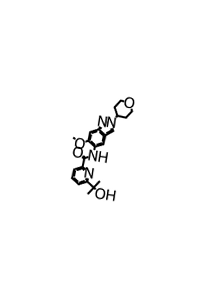 COc1cc2nn(C3CCOCC3)cc2cc1NC(=O)c1cccc(C(C)(C)O)n1